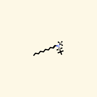 CCCCCCCCC=CN([Si](C)(C)C)[Si](C)(C)C(C)(C)C